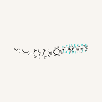 CCCCCC[C@H]1CC[C@H](C2CCC(c3ccc(C(F)(F)C(F)(F)C(F)(F)C(F)(F)C(F)(F)C(F)(F)C(F)(F)C(F)(F)F)cc3)CC2)CC1